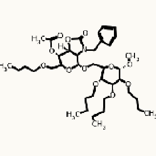 CCCCOCC1O[C@H](OCC2O[C@H](OC)C(OCCCC)[C@@H](OCCCC)[C@@H]2OCCCC)C2[C@@H](OC(=O)N2Cc2ccccc2)[C@H]1OC(C)=O